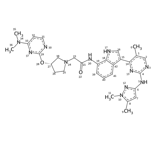 Cc1cnc(Nc2cc(C)n(C)n2)nc1-c1c[nH]c2c(NC(=O)CN3CC[C@H](Oc4nccc(N(C)C)n4)C3)cccc12